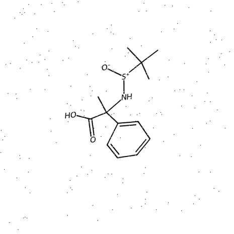 CC(N[S+]([O-])C(C)(C)C)(C(=O)O)c1ccccc1